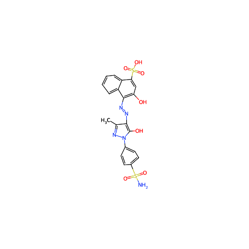 Cc1nn(-c2ccc(S(N)(=O)=O)cc2)c(O)c1N=Nc1c(O)cc(S(=O)(=O)O)c2ccccc12